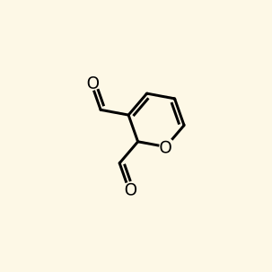 O=CC1=CC=COC1C=O